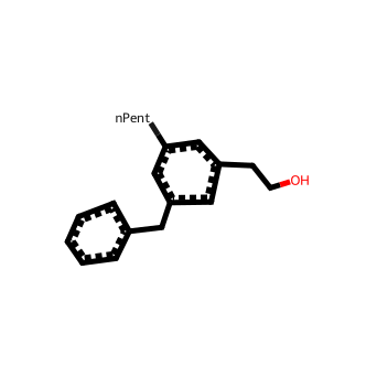 CCCCCc1cc(CCO)cc(Cc2ccccc2)c1